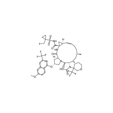 COc1ccc2c(O[C@@H]3C[C@H]4C(=O)N[C@]5(C(=O)NS(=O)(=O)C6(CF)CC6)C[C@H]5C=CCC[C@@H](C)C[C@@H](C)[C@H](N(C(=O)O)C5(C(F)(F)F)CCCOC5)C(=O)N4C3)nc(C(F)(F)F)cc2c1